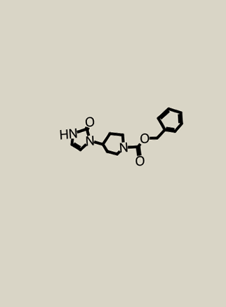 O=C(OCc1ccccc1)N1CCC(n2cc[nH]c2=O)CC1